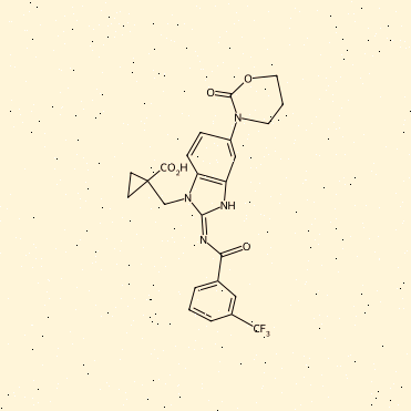 O=C(/N=c1\[nH]c2cc(N3CCCOC3=O)ccc2n1CC1(C(=O)O)CC1)c1cccc(C(F)(F)F)c1